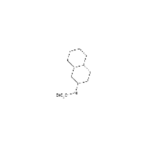 CCOC(=O)NC1CCC2CCCCC2C1